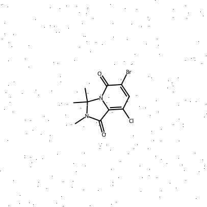 CN1C(=O)c2c(Cl)cc(Br)c(=O)n2C1(C)C